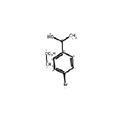 CC(=O)O.CC(O)c1ccc(Br)cc1